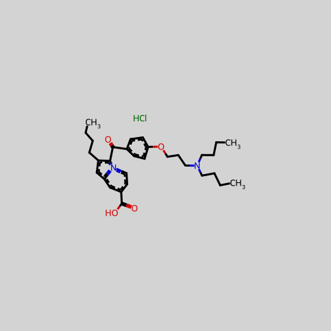 CCCCc1cc2cc(C(=O)O)ccn2c1C(=O)c1ccc(OCCCN(CCCC)CCCC)cc1.Cl